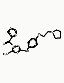 Nc1nc(Nc2ccc(OCCN3CCCC3)cc2)nn1C(=O)c1csnn1